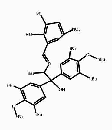 CCCCOc1c(C(C)(C)C)cc(C(O)(c2cc(C(C)(C)C)c(OCCCC)c(C(C)(C)C)c2)C(N=Cc2cc([N+](=O)[O-])cc(Br)c2O)C(C)CC)cc1C(C)(C)C